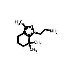 Cc1nn(CCN)c2c1CCCC2(C)C